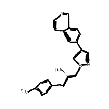 N[C@@H](Cc1ccc(C(F)(F)F)cc1)Cn1cc(-c2ccc3cnccc3c2)cn1